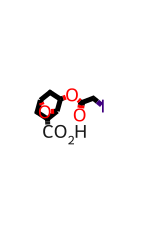 O=C(CI)OC1CC2CC(C(=O)O)C1O2